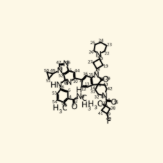 CNC(=O)c1cc(Nc2nc(-c3ccc4c(c3)N([C@H]3C[C@@H](N5CCCCC5)C3)C(=O)C43CCN(C(=O)C4(C)CC(F)C4)CC3)cc3ncn(C4CC4)c23)ccc1C